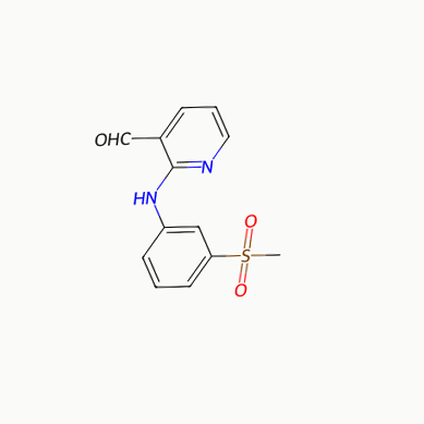 CS(=O)(=O)c1cccc(Nc2ncccc2C=O)c1